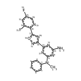 CN(c1ccccc1)c1nc(N)nc(-c2noc(-c3ncc(F)cc3F)n2)n1